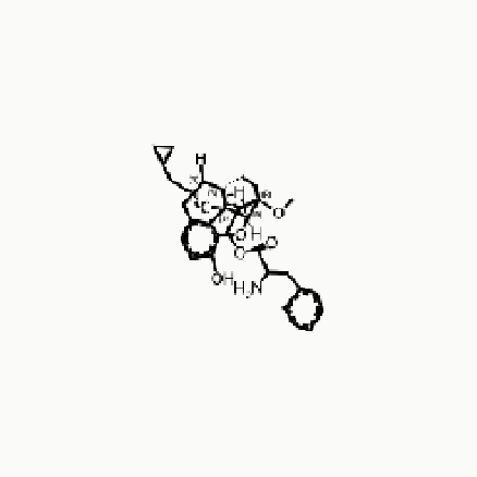 CO[C@]12CC[C@@]3(C[C@@H]1COC(=O)C(N)Cc1ccccc1)[C@H]1Cc4ccc(O)c5c4[C@@]3(CCN1CC1CC1)[C@H]2O5